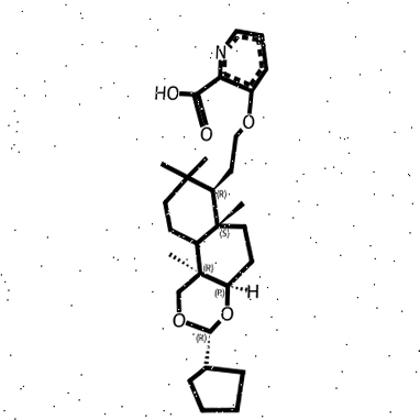 CC1(C)CCC2[C@]3(C)CO[C@@H](C4CCCC4)O[C@@H]3CC[C@@]2(C)[C@@H]1CCOc1cccnc1C(=O)O